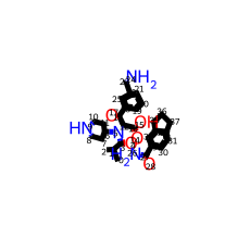 CC(C)C(=O)N(C1CCNCC1)[C@H](C(=O)O)C(=O)c1cccc(CN)c1.NC(=O)c1ccc2c(c1)CCC2